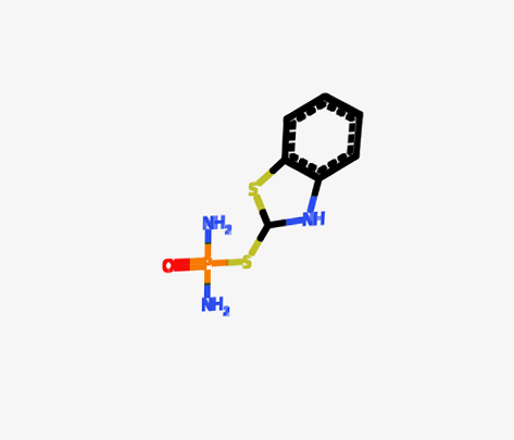 NP(N)(=O)SC1Nc2ccccc2S1